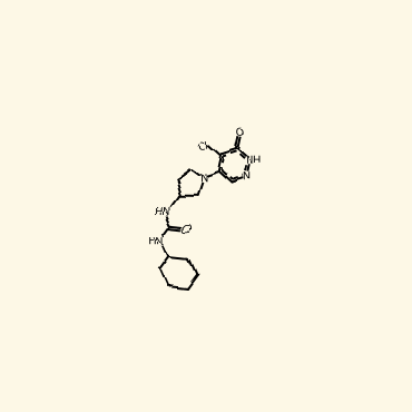 O=C(NC1CCCCC1)NC1CCN(c2cn[nH]c(=O)c2Cl)C1